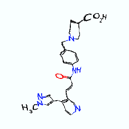 Cn1cc(-c2ccncc2/C=C/C(=O)Nc2ccc(CN3CCC(C(=O)O)CC3)cc2)cn1